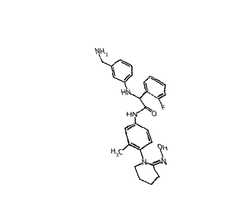 Cc1cc(NC(=O)C(Nc2cccc(CN)c2)c2ccccc2F)ccc1N1CCCC/C1=N/O